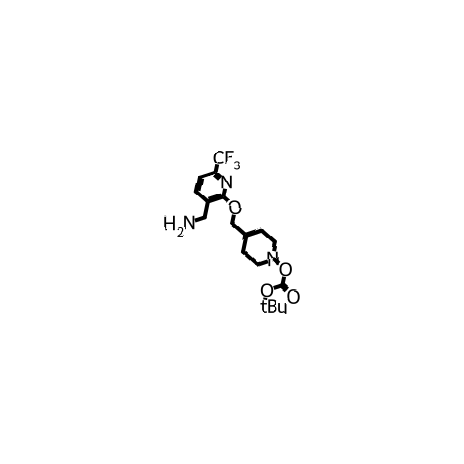 CC(C)(C)OC(=O)ON1CCC(COc2nc(C(F)(F)F)ccc2CN)CC1